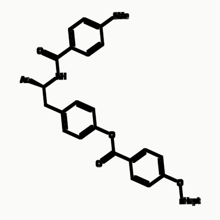 CCCCCCCOc1ccc(C(=O)Oc2ccc(C[C@H](NC(=O)c3ccc(SC)cc3)C(C)=O)cc2)cc1